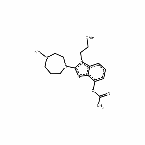 CCCN1CCCN(c2nc3c(OC(N)=O)cccc3n2CCOC)CC1